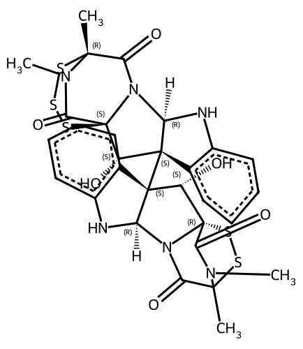 CN1C(=O)[C@@]23SSC1(C)C(=O)N2[C@H]1Nc2ccccc2[C@@]1([C@@]12c4ccccc4N[C@@H]1N1C(=O)[C@@]4(C)SSS[C@]1(C(=O)N4C)[C@H]2O)[C@@H]3O